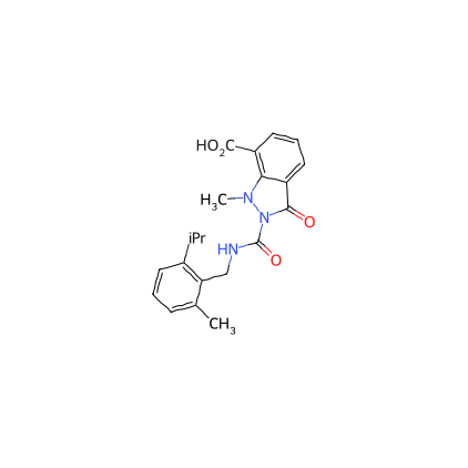 Cc1cccc(C(C)C)c1CNC(=O)n1c(=O)c2cccc(C(=O)O)c2n1C